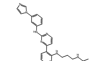 CC(=O)NCCCNc1cnccc1-c1ccnc(Nc2cccc(-n3ccnc3)c2)n1